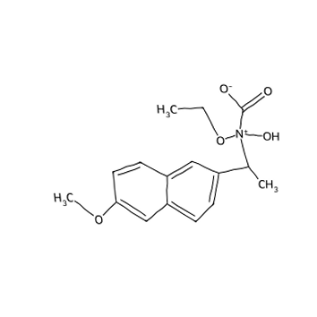 CCO[N+](O)(C(=O)[O-])C(C)c1ccc2cc(OC)ccc2c1